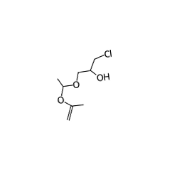 C=C(C)OC(C)OCC(O)CCl